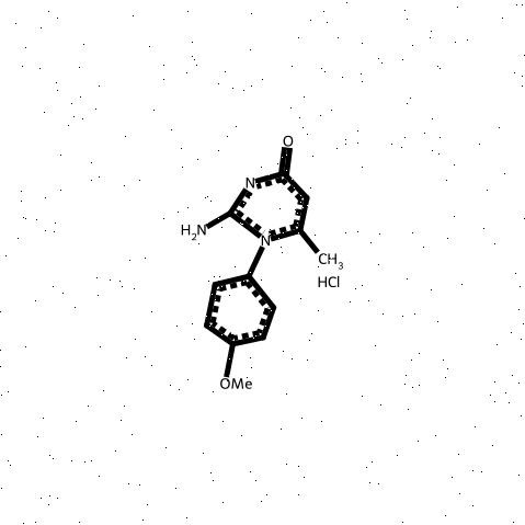 COc1ccc(-n2c(C)cc(=O)nc2N)cc1.Cl